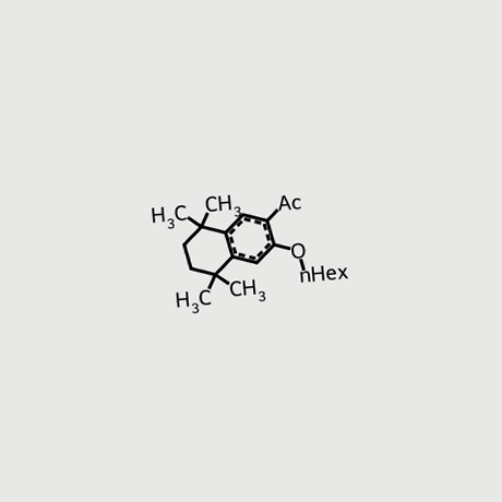 CCCCCCOc1cc2c(cc1C(C)=O)C(C)(C)CCC2(C)C